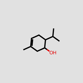 CC1=CCC(C(C)C)C(O)C1